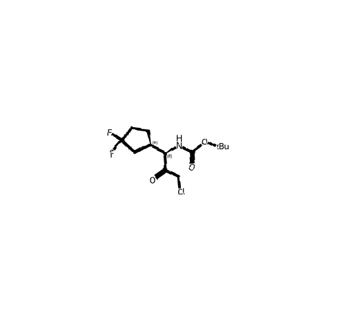 CC(C)(C)OC(=O)N[C@@H](C(=O)CCl)[C@@H]1CCC(F)(F)C1